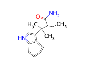 CCC(C(N)=O)C(C)(C)c1c[nH]c2ccccc12